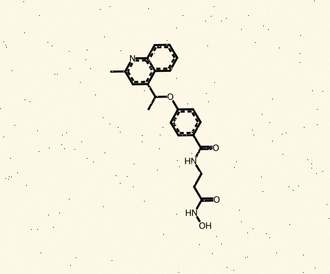 Cc1cc(C(C)Oc2ccc(C(=O)NCCC(=O)NO)cc2)c2ccccc2n1